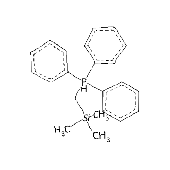 C[Si](C)(C)C[PH](c1ccccc1)(c1ccccc1)c1ccccc1